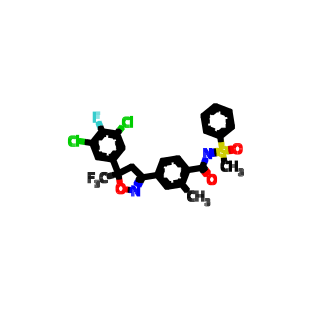 Cc1cc(C2=NOC(c3cc(Cl)c(F)c(Cl)c3)(C(F)(F)F)C2)ccc1C(=O)N=S(C)(=O)c1ccccc1